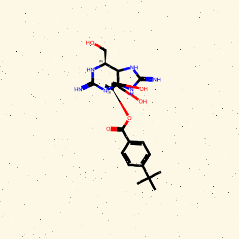 CC(C)(C)c1ccc(C(=O)O[C@H]2CN3C(=N)N[C@@H](CO)C4NC(=N)NC43C2(O)O)cc1